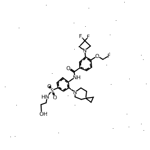 O=C(Nc1ccc(S(=O)(=O)NCCO)cc1N1CCC2(CC1)CC2)c1ccc(OCF)c(N2CC(F)(F)C2)c1